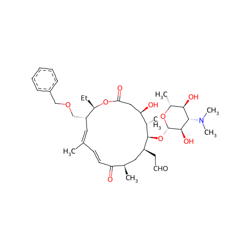 CC[C@H]1OC(=O)C[C@@H](O)[C@H](C)[C@@H](O[C@@H]2O[C@H](C)[C@@H](O)[C@H](N(C)C)[C@H]2O)[C@@H](CC=O)C[C@@H](C)C(=O)/C=C/C(C)=C/[C@@H]1COCc1ccccc1